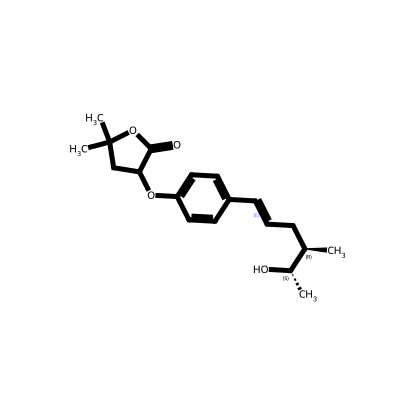 C[C@H](O)[C@H](C)C/C=C/c1ccc(OC2CC(C)(C)OC2=O)cc1